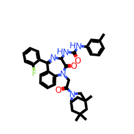 Cc1cccc(NC(=O)NC2N=C(c3ccccc3F)c3ccccc3N(CC(=O)N3CC4(C)CC3CC(C)(C)C4)C2=O)c1